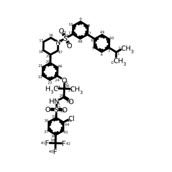 CC(C)c1ccc(-c2cccc(S(=O)(=O)N3CCCC(c4cccc(OC(C)(C)C(=O)NS(=O)(=O)c5ccc(C(F)(F)F)cc5Cl)c4)C3)c2)cc1